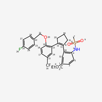 CCOC(=O)c1ccc(NS(C)(=O)=O)c(C2=C(c3cc(C(F)(F)F)ccc3OCc3ccc(F)cc3)CCC2)c1